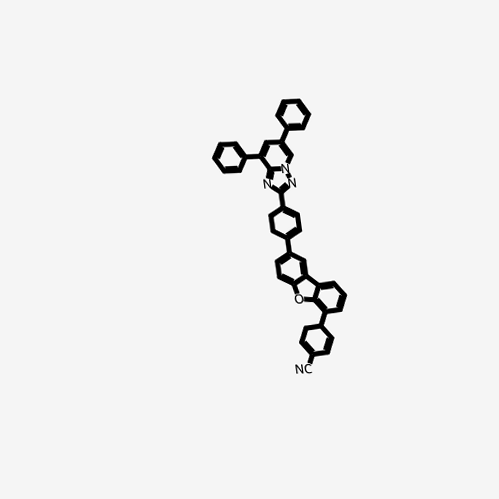 N#CC1=CCC(c2cccc3c2oc2ccc(C4=CC=C(c5nc6c(-c7ccccc7)cc(-c7ccccc7)cn6n5)CC4)cc23)C=C1